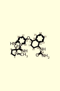 CN1CCC[C@]1(C)C(=N)n1cc(OC2CCC(NC(N)=O)c3ccccc32)ccc1=N